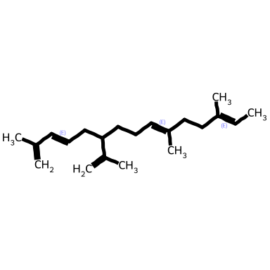 C=C(C)/C=C/CC(CC/C=C(\C)CC/C(C)=C/C)C(=C)C